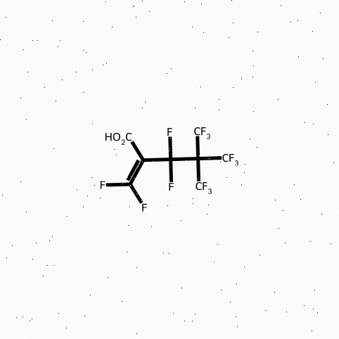 O=C(O)C(=C(F)F)C(F)(F)C(C(F)(F)F)(C(F)(F)F)C(F)(F)F